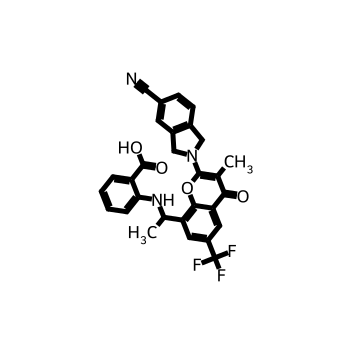 Cc1c(N2Cc3ccc(C#N)cc3C2)oc2c(C(C)Nc3ccccc3C(=O)O)cc(C(F)(F)F)cc2c1=O